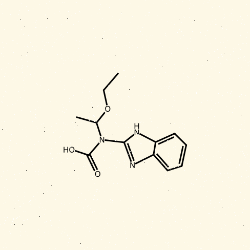 CCOC(C)N(C(=O)O)c1nc2ccccc2[nH]1